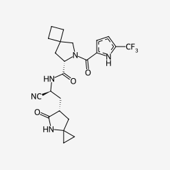 N#C[C@H](C[C@@H]1CC2(CC2)NC1=O)NC(=O)[C@@H]1CC2(CCC2)CN1C(=O)c1ccc(C(F)(F)F)[nH]1